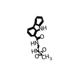 CS(=O)(=O)NCNC(=O)c1cccc2c1[nH]c1ccccc12